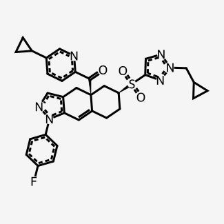 O=C(c1ccc(C2CC2)cn1)[C@]12Cc3cnn(-c4ccc(F)cc4)c3C=C1CC[C@H](S(=O)(=O)c1cnn(CC3CC3)n1)C2